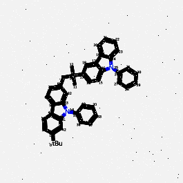 CC(C)(C)c1ccc2c3ccc(CC(C)(C)c4ccc5c(c4)c4ccccc4n5-c4ccccc4)cc3n(-c3ccccc3)c2c1